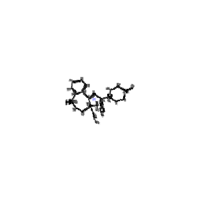 CN1CCN(C(=O)/C=C2/c3ccccc3NCCC2(F)F)CC1